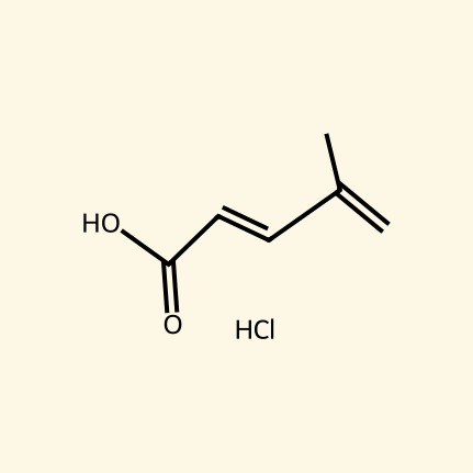 C=C(C)C=CC(=O)O.Cl